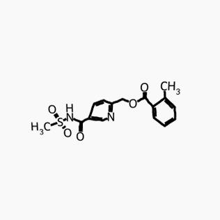 Cc1ccccc1C(=O)OCc1ccc(C(=O)NS(C)(=O)=O)cn1